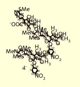 CNC(=O)C(OC)n1c[n+]2cc(C3=C(C(=O)OCc4ccc([N+](=O)[O-])cc4)N4C(=O)[C@H]([C@@H](C)O)[C@H]4[C@H]3C)sc2c1SC.CNC(=O)C(OC)n1c[n+]2cc(C3=C(C(=O)OCc4ccc([N+](=O)[O-])cc4)N4C(=O)[C@H]([C@@H](C)O)[C@H]4[C@H]3C)sc2c1SC.CSc1ncn2cc(C3=C(C(=O)[O-])N4C(=O)[C@H]([C@@H](C)O)[C@H]4[C@H]3C)sc12.[I-]